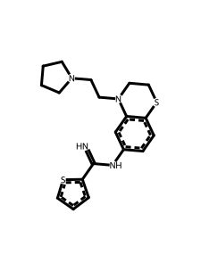 N=C(Nc1ccc2c(c1)N(CCN1CCCC1)CCS2)c1cccs1